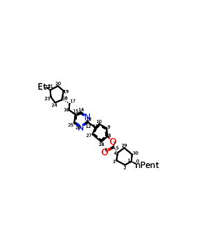 CCCCC[C@H]1CC[C@H](C(=O)Oc2ccc(-c3ncc(CC[C@H]4CC[C@H](CC)CC4)cn3)cc2)CC1